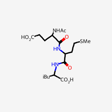 CCC(C)C(NC(=O)C(CCSC)NC(=O)C(CCC(=O)O)NC(C)=O)C(=O)O